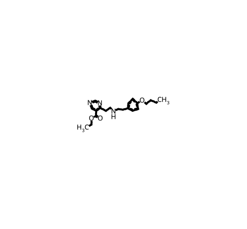 CCCCOc1ccc(CCNCCc2ncncc2C(=O)OCC)cc1